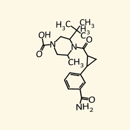 CC1CN(C(=O)O)CC(C(C)(C)C)N1C(=O)C1CC1c1cccc(C(N)=O)c1